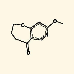 COc1cc2c(cn1)C(=O)CCCC2